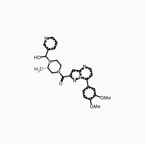 COc1ccc(-c2ccnc3cc(C(=O)N4CCN(C(O)c5cccnc5)[C@@H](C)C4)nn23)cc1OC